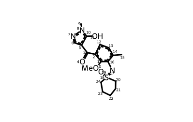 COc1c(C(=O)c2cnn(C)c2O)ccc(C)c1N=S1(=O)CCCCC1